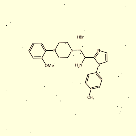 Br.COc1ccccc1N1CCN(CC(N)c2nccn2-c2ccc(C)cc2)CC1